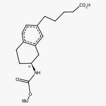 CC(C)(C)OC(=O)N[C@H]1CCc2ccc(CCCCC(=O)O)cc2C1